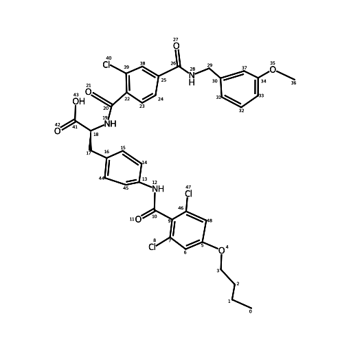 CCCCOc1cc(Cl)c(C(=O)Nc2ccc(C[C@H](NC(=O)c3ccc(C(=O)NCc4cccc(OC)c4)cc3Cl)C(=O)O)cc2)c(Cl)c1